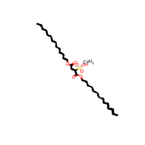 CCCCCCCCCCCCCCOC(=O)CC(C(=O)OCCCCCCCCCCCCCC)S(=O)(=O)O.[CaH2]